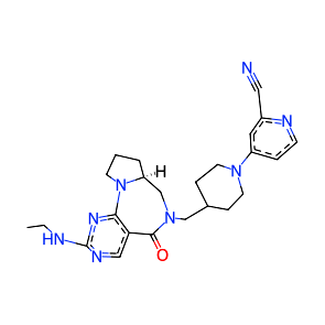 CCNc1ncc2c(n1)N1CCC[C@H]1CN(CC1CCN(c3ccnc(C#N)c3)CC1)C2=O